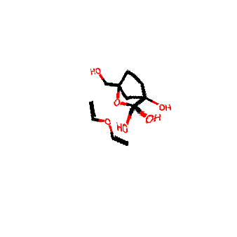 C=COC=C.OCC12CCC(O)(C1)C(O)(O)O2